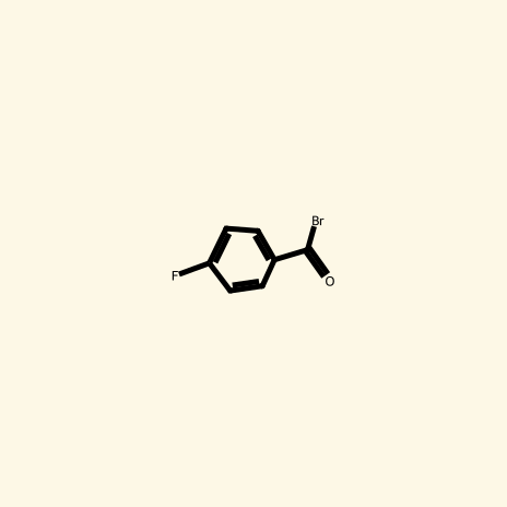 O=C(Br)c1ccc(F)cc1